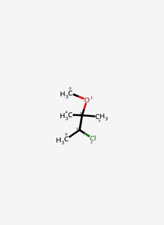 COC(C)(C)C(C)Cl